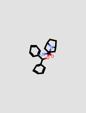 NC(=O)N1C2CCC1CC(OC(c1ccccc1)c1ccccc1)C2